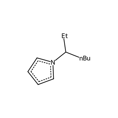 CCCCC(CC)n1cccc1